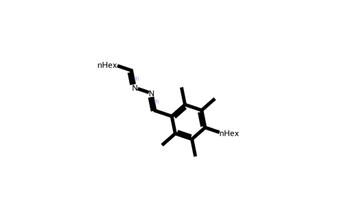 CCCCCC/C=N/N=C/c1c(C)c(C)c(CCCCCC)c(C)c1C